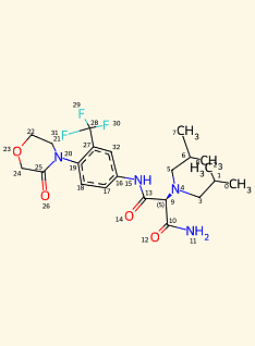 CC(C)CN(CC(C)C)[C@@H](C(N)=O)C(=O)Nc1ccc(N2CCOCC2=O)c(C(F)(F)F)c1